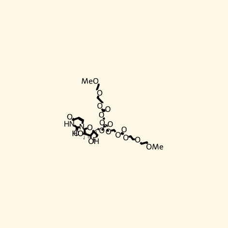 COCCOCCOC(=O)OCOP(=O)(OCOC(=O)OCCOCCOC)OC[C@@]1(CF)OC(n2ccc(=O)[nH]c2=O)[C@](C)(O)[C@@H]1O